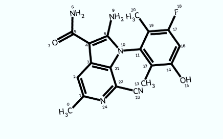 Cc1cc2c(C(N)=O)c(N)n(-c3c(C)c(O)cc(F)c3C)c2c(C#N)n1